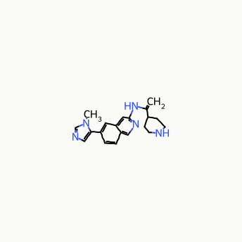 C=C(Nc1cc2cc(-c3cncn3C)ccc2cn1)C1CCNCC1